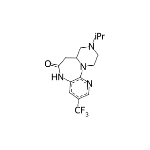 CC(C)N1CCN2c3ncc(C(F)(F)F)cc3NC(=O)CC2C1